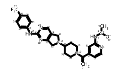 C=C(c1ccnc(N[S+](C)[O-])c1)N1CCC(N2Cc3cnc(Nc4ccc(C(F)(F)F)cc4)nc3C2)CC1